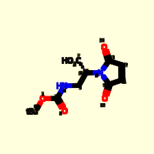 CC(C)(C)OC(=O)NC[C@H](C(=O)O)N1C(=O)C=CC1=O